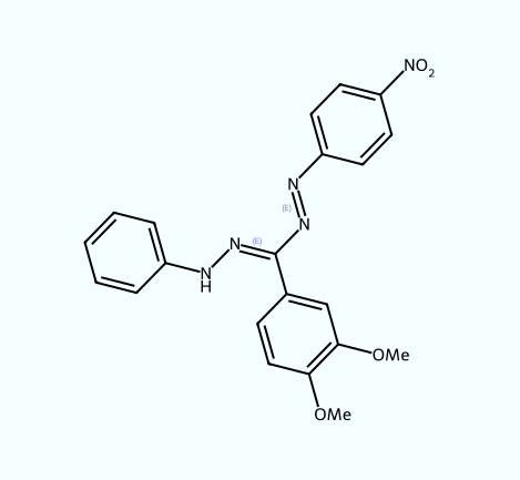 COc1ccc(C(/N=N/c2ccc([N+](=O)[O-])cc2)=N\Nc2ccccc2)cc1OC